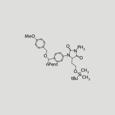 CCCCCC(OCc1ccc(OC)cc1)c1ccc(N2C(=O)N(P)C(=O)C2CCO[Si](C)(C)C(C)(C)C)cc1